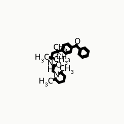 CC1CCCC(C)N1CC(=O)NC(C)(C)CC(C)(C)c1ccc(C(=O)c2ccccc2)cc1